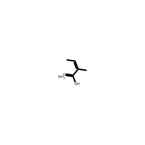 CC=C(C)C(=O)O.[SrH2]